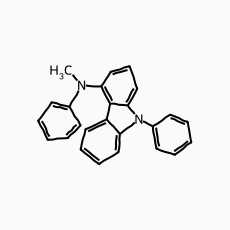 CN(c1ccccc1)c1cccc2c1c1ccccc1n2-c1ccccc1